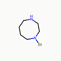 CCN1CCCCNCC1